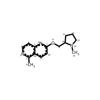 Cc1nccc2nc(OCC3CCCN3C)ccc12